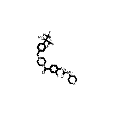 O=C(Nc1ccc(C(=O)N2CCN(Cc3ccc(C(O)(C(F)(F)F)C(F)(F)F)cc3)CC2)cc1F)NC1CCSCC1